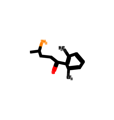 CC(P)CCC(=O)c1c(C(F)(F)F)cccc1C(F)(F)F